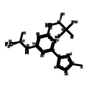 Cc1nc(-c2nc(N[C@H](C)C(C)(F)F)nc(N[C@H](C)C(F)(F)F)n2)cs1